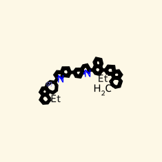 C=C1CC=Cc2ccc3ccc(-c4ccc(-c5ccc6cc(-c7ccc8ccc(C9/C=C\c%10ccc%11c(c%10CCC9)C(CC)CC=C%11)nc8c7)ccc6n5)c5ccccc45)c(CC)c3c2C1